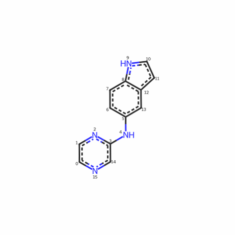 c1cnc(Nc2ccc3[nH]ccc3c2)cn1